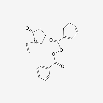 C=CN1CCCC1=O.O=C(OOC(=O)c1ccccc1)c1ccccc1